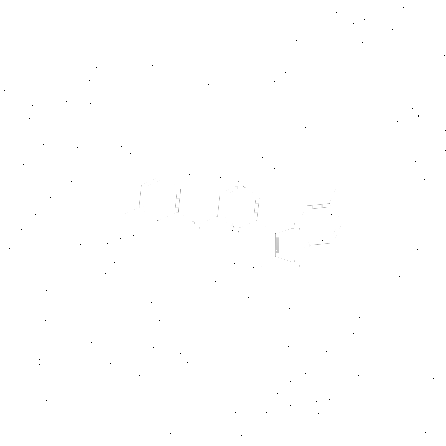 Cc1nc2ccc(F)cn2c1-c1cncc(Nc2cccc(C(F)(F)F)c2)n1